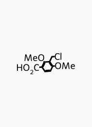 COc1ccc(C(=O)O)c(OC)c1CCl